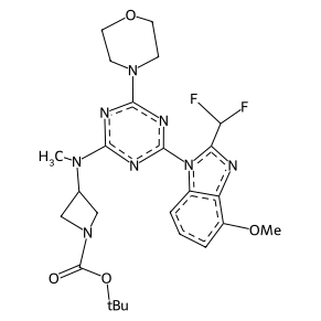 COc1cccc2c1nc(C(F)F)n2-c1nc(N2CCOCC2)nc(N(C)C2CN(C(=O)OC(C)(C)C)C2)n1